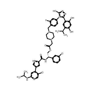 CC(C)Nc1cc(-c2c[nH]c(C(=O)N[C@H](COC(=O)CN3CCN(Cc4ccc(-n5c(O)nnc5-c5cc(C(C)C)c(O)cc5O)cc4F)CC3)c3cccc(Cl)c3)c2)c(Cl)cn1